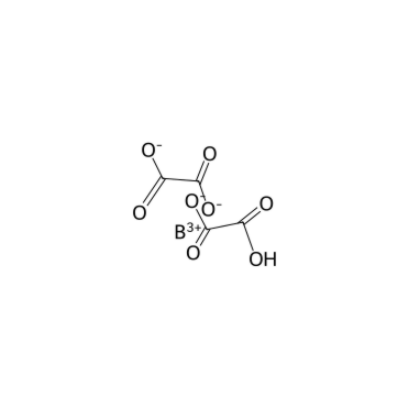 O=C([O-])C(=O)O.O=C([O-])C(=O)[O-].[B+3]